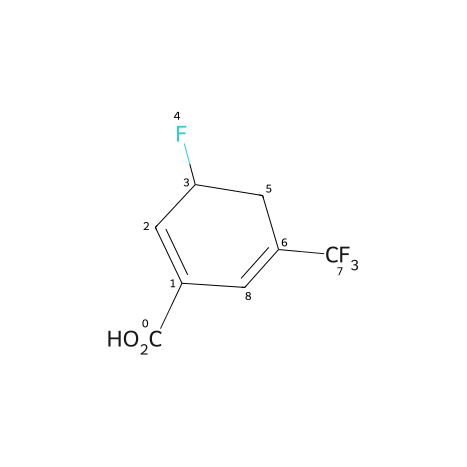 O=C(O)C1=CC(F)CC(C(F)(F)F)=C1